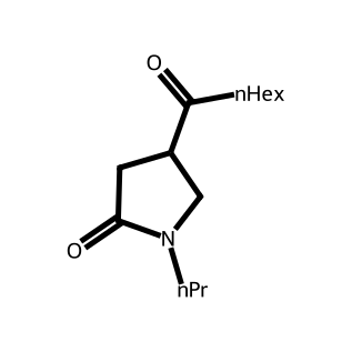 CCCCCCC(=O)C1CC(=O)N(CCC)C1